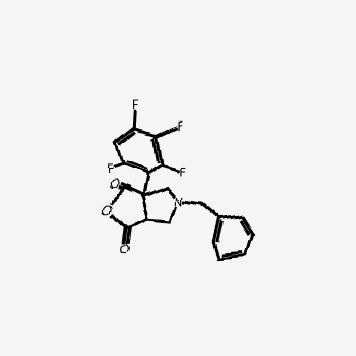 O=C1OC(=O)C2(c3c(F)cc(F)c(F)c3F)CN(Cc3ccccc3)CC12